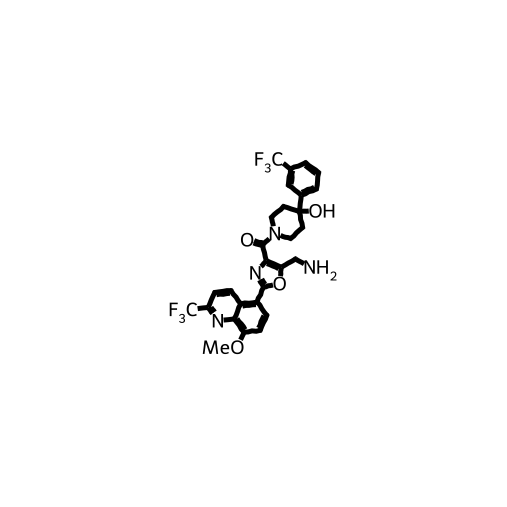 COc1ccc(-c2nc(C(=O)N3CCC(O)(c4cccc(C(F)(F)F)c4)CC3)c(CN)o2)c2ccc(C(F)(F)F)nc12